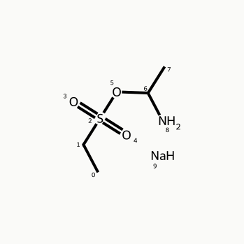 CCS(=O)(=O)OC(C)N.[NaH]